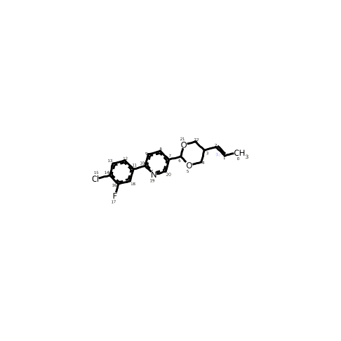 C/C=C/C1COC(c2ccc(-c3ccc(Cl)c(F)c3)nc2)OC1